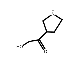 O=C(CO)C1CCNC1